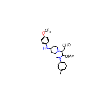 COC(C(CC=O)N1CCC(Nc2ccc(OC(F)(F)F)cc2)CC1)N(C)C1=CCC=C(C)C=C1